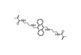 C=C(C)C(=O)NCCCNCc1c2ccccc2c(CNCCCNC(=O)C(=C)C)c2ccccc12